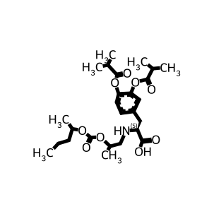 CCCC(C)OC(=O)OC(C)CN[C@@H](Cc1ccc(OC(=O)C(C)C)c(OC(=O)C(C)C)c1)C(=O)O